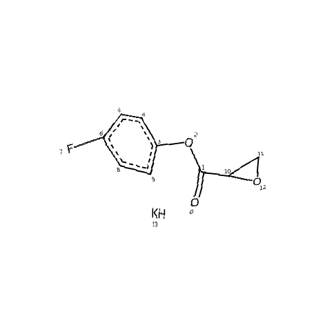 O=C(Oc1ccc(F)cc1)C1CO1.[KH]